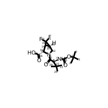 CC(C)(C)OC(=O)N[C@H](C(=O)N1C[C@H]2C([C@H]1C(=O)O)C2(F)F)C(C)(C)C